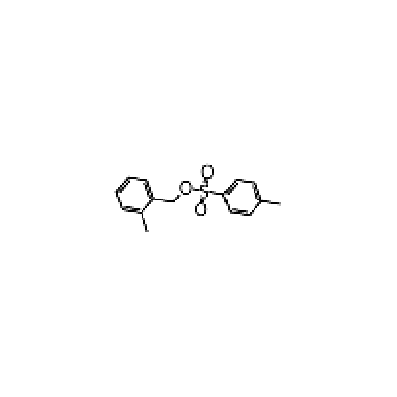 Cc1ccc(S(=O)(=O)OCc2ccccc2C)cc1